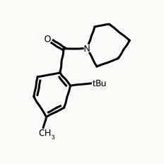 Cc1ccc(C(=O)N2CCCCC2)c(C(C)(C)C)c1